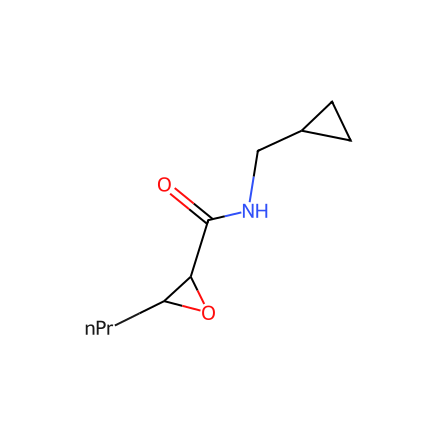 CCCC1OC1C(=O)NCC1CC1